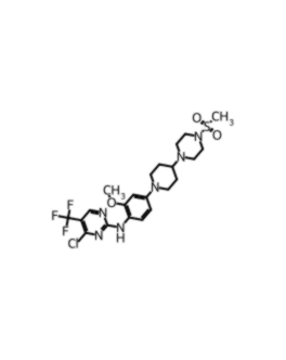 COc1cc(N2CCC(N3CCN(S(C)(=O)=O)CC3)CC2)ccc1Nc1ncc(C(F)(F)F)c(Cl)n1